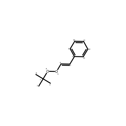 CC(C)(C)OOC=Cc1ccccc1